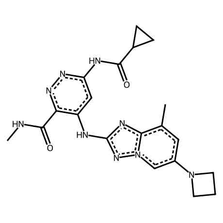 CNC(=O)c1nnc(NC(=O)C2CC2)cc1Nc1nc2c(C)cc(N3CCC3)cn2n1